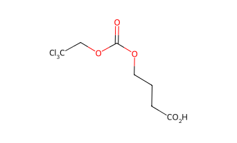 O=C(O)CCCOC(=O)OCC(Cl)(Cl)Cl